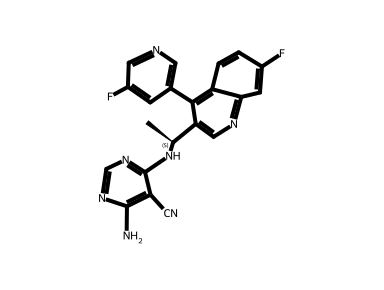 C[C@H](Nc1ncnc(N)c1C#N)c1cnc2cc(F)ccc2c1-c1cncc(F)c1